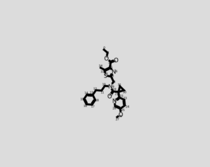 CCOC(=O)c1nc(CN(CCCc2ccccc2)C(=O)C2(c3ccc(OC)cn3)CC2)sc1C